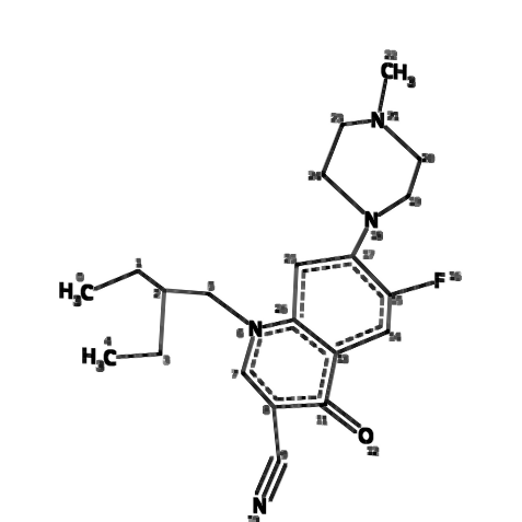 CCC(CC)Cn1cc(C#N)c(=O)c2cc(F)c(N3CCN(C)CC3)cc21